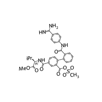 COC(=O)[C@H](NC(=O)c1ccc(-c2ccccc2C(=O)Nc2ccc(C(=N)N)cc2)c(C(=O)OS(C)(=O)=O)c1)C(C)C